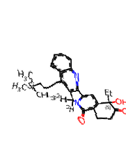 [2H]C1([2H])c2c(nc3ccccc3c2CC[Si](C)(C)C)-c2cc3c(c(=O)n21)CCC(=O)[C@]3(O)CC